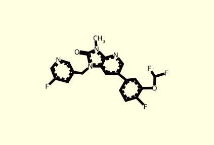 Cn1c(=O)n(Cc2cncc(F)c2)c2cc(-c3ccc(F)c(OC(F)F)c3)cnc21